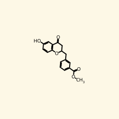 COC(=O)c1cccc(CC2CC(=O)c3cc(O)ccc3O2)c1